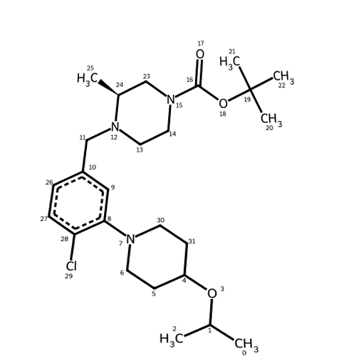 CC(C)OC1CCN(c2cc(CN3CCN(C(=O)OC(C)(C)C)C[C@@H]3C)ccc2Cl)CC1